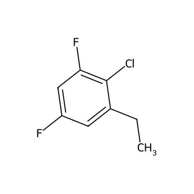 CCc1cc(F)cc(F)c1Cl